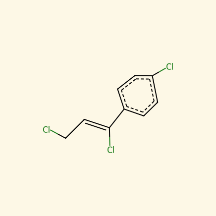 ClC/C=C(\Cl)c1ccc(Cl)cc1